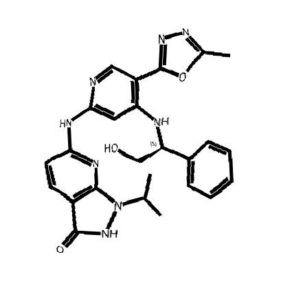 Cc1nnc(-c2cnc(Nc3ccc4c(=O)[nH]n(C(C)C)c4n3)cc2N[C@H](CO)c2ccccc2)o1